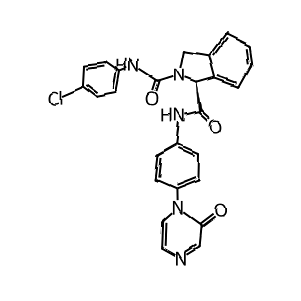 O=C(Nc1ccc(-n2ccncc2=O)cc1)[C@@H]1c2ccccc2CN1C(=O)Nc1ccc(Cl)cc1